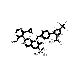 COc1ncnc(C2CC2)c1-c1ncc2c[c]([Sn]([CH3])([CH3])[CH3])c(=O)n(Cc3ccc(-c4nc(C(F)(F)F)cn4C(C)C)cc3)c2n1